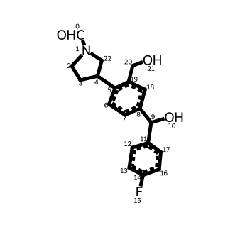 O=CN1CCC(c2ccc(C(O)c3ccc(F)cc3)cc2CO)C1